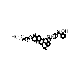 C=C(C)[C@@H]1CC[C@]2(CC(=O)N3CCN(C(=O)c4ccccc4O)CC3)CC[C@]3(C)[C@H](CC[C@@H]4[C@@]5(C)CC[C@H](OC(=O)CC(C)(C)C(=O)O)C(C)(C)[C@@H]5CC[C@]43C)[C@@H]12